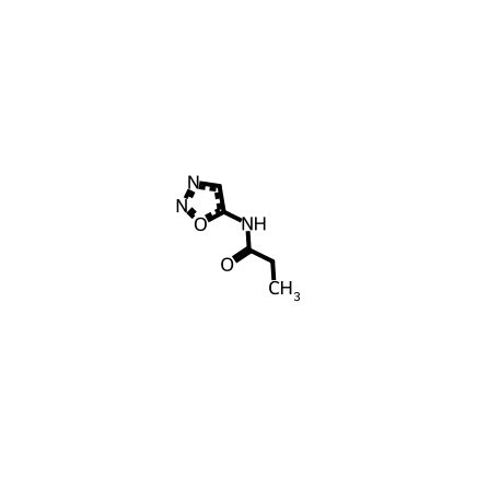 CCC(=O)Nc1cnno1